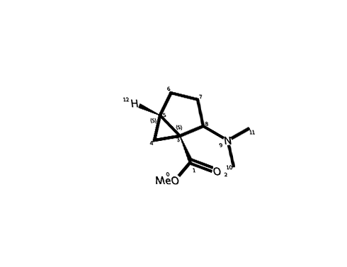 COC(=O)[C@@]12C[C@@H]1CCC2N(C)C